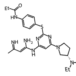 CCC(=O)Nc1ccc(Sc2nc(N/C(N)=C/C(C)=N)cc(N3CC[C@H](N(C)CC)C3)n2)cc1